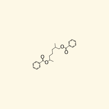 CC(CCCC(C)OC(=O)c1ccccc1)COC(=O)c1ccccc1